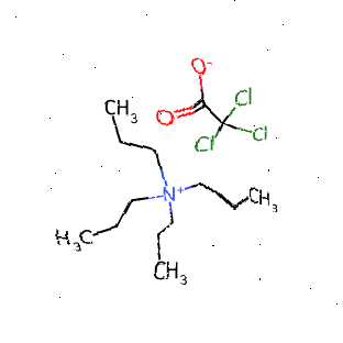 CCC[N+](CCC)(CCC)CCC.O=C([O-])C(Cl)(Cl)Cl